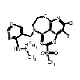 CPNc1ncncc1[C@@H](C)N1CCOc2nc(Cl)c(F)c3nc(S(C)(=O)=O)nc1c23